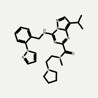 CC(C)c1cnn2c(NCc3ccccc3-n3cccn3)nc(C(=O)N(C)CCN3CCCC3)nc12